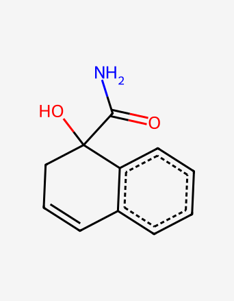 NC(=O)C1(O)CC=Cc2ccccc21